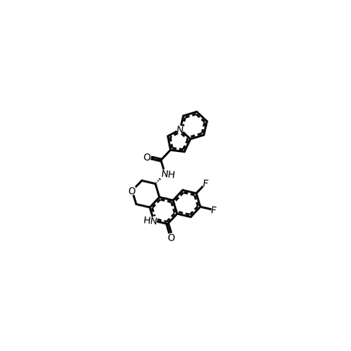 O=C(N[C@H]1COCc2[nH]c(=O)c3cc(F)c(F)cc3c21)c1cc2ccccn2c1